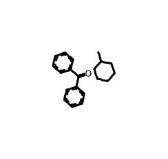 CC1CCCCC1.O=C(c1ccccc1)c1ccccc1